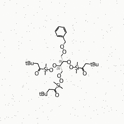 CC(C)(C)CC(=O)[Si](C)(C)OOC[C@H](OO[Si](C)(C)C(=O)CC(C)(C)C)[C@H](COOCc1ccccc1)OO[Si](C)(C)C(=O)CC(C)(C)C